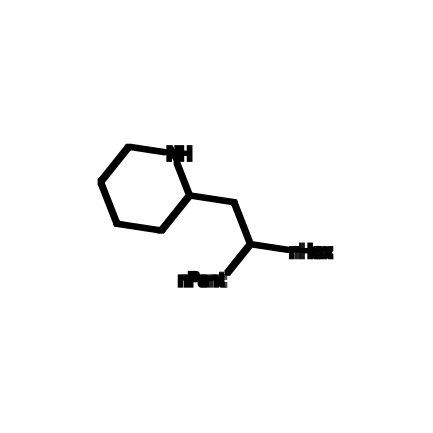 CCCCCCC(CCCCC)CC1CCCCN1